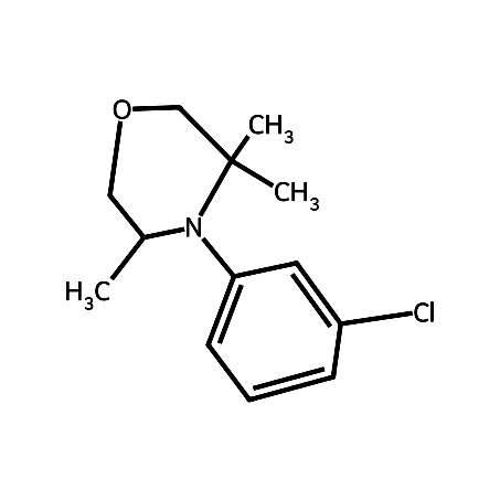 CC1COCC(C)(C)N1c1cccc(Cl)c1